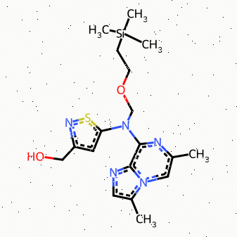 Cc1cn2c(C)cnc2c(N(COCC[Si](C)(C)C)c2cc(CO)ns2)n1